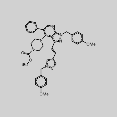 COc1ccc(Cn2cc(C=Cc3nn(Cc4ccc(OC)cc4)c4ncc(-c5ccccc5)c(N5CCN(C(=O)OC(C)(C)C)CC5)c34)cn2)cc1